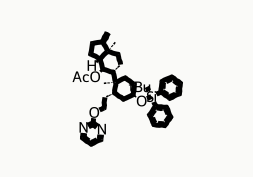 C=C1CC[C@H]2[C@H](OC(C)=O)[C@@H]([C@@]3(C)CC[C@H](O[Si](c4ccccc4)(c4ccccc4)C(C)(C)C)C[C@@H]3CCOc3ncccn3)CC[C@]12C